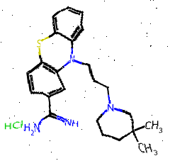 CC1(C)CCCN(CCCN2c3ccccc3Sc3ccc(C(=N)N)cc32)C1.Cl